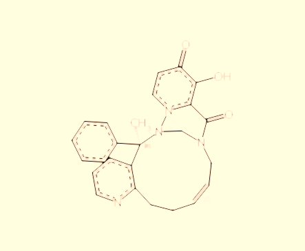 C[C@@]1(c2ccccc2)c2cccnc2CC/C=C\CN2CN1n1ccc(=O)c(O)c1C2=O